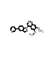 COc1cc2nncc(-n3ncc4cc(-c5cccnc5)ccc43)c2cc1OC